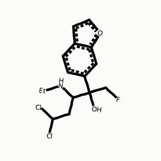 CCNC(CC(Cl)Cl)C(O)(CF)c1ccc2ccoc2c1